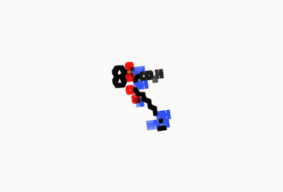 O=C(O)C(CNC(=O)C1CC(CCCCNc2ncc[nH]2)=NO1)NS(=O)(=O)c1cccc2ccccc12